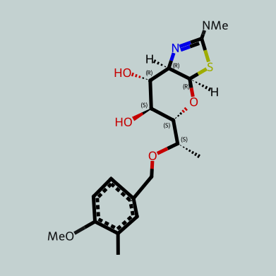 CNC1=N[C@@H]2[C@@H](O)[C@H](O)[C@@H]([C@H](C)OCc3ccc(OC)c(C)c3)O[C@@H]2S1